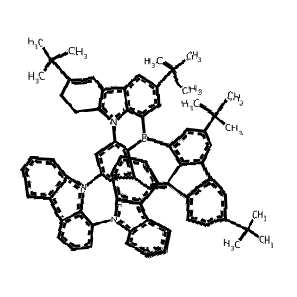 CC(C)(C)C1=Cc2c(n3c4c(cc(C(C)(C)C)cc24)B2c4cc(C(C)(C)C)cc5c4C(=Cc4cc(-n6c7ccccc7c7cccc(-n8c9ccccc9c9ccccc98)c76)cc-3c42)c2ccc(C(C)(C)C)cc2-5)CC1